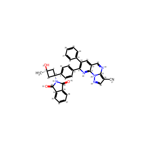 C[C@]1(O)C[C@](c2ccc(-c3nc4c(cnc5c(C#N)cnn54)cc3-c3ccccc3)cc2)(N2C(=O)c3ccccc3C2=O)C1